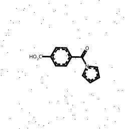 O=C(O)c1ccc(C(=O)n2cccc2)cc1